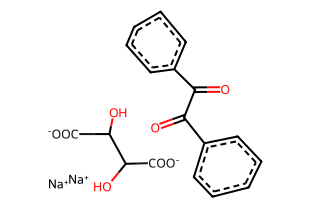 O=C(C(=O)c1ccccc1)c1ccccc1.O=C([O-])C(O)C(O)C(=O)[O-].[Na+].[Na+]